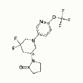 O=C1CCCN1[C@H]1CN(c2ccc(OC(F)(F)F)nc2)CC(F)(F)C1